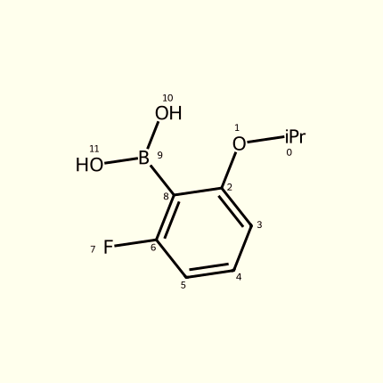 CC(C)Oc1cccc(F)c1B(O)O